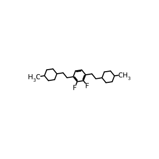 CC1CCC(CCc2ccc(CCC3CCC(C)CC3)c(F)c2F)CC1